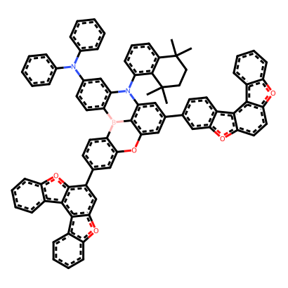 CC1(C)CCC(C)(C)c2c(N3c4cc(N(c5ccccc5)c5ccccc5)ccc4B4c5ccc(-c6cc7oc8ccccc8c7c7c6oc6ccccc67)cc5Oc5cc(-c6ccc7c(c6)oc6ccc8oc9ccccc9c8c67)cc3c54)cccc21